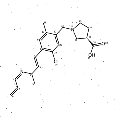 C=C/C=N\C(C)/C=C/c1cc(C)c(CN2CC[C@@H](C(=O)O)C2)cc1Cl